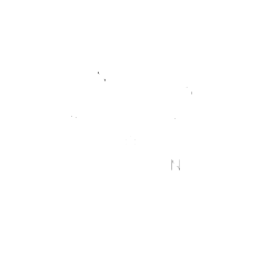 CN1CCC(O)(c2ccnc(Br)c2)C1=O